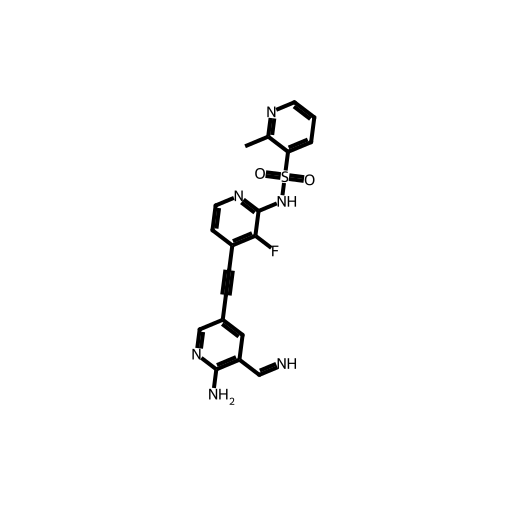 Cc1ncccc1S(=O)(=O)Nc1nccc(C#Cc2cnc(N)c(C=N)c2)c1F